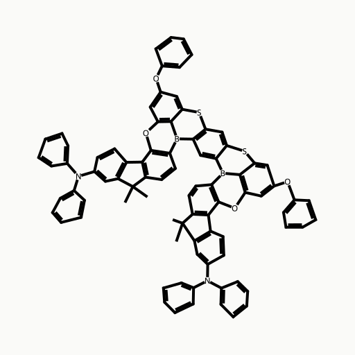 CC1(C)c2cc(N(c3ccccc3)c3ccccc3)ccc2-c2c1ccc1c2Oc2cc(Oc3ccccc3)cc3c2B1c1cc2c(cc1S3)Sc1cc(Oc3ccccc3)cc3c1B2c1ccc2c(c1O3)-c1ccc(N(c3ccccc3)c3ccccc3)cc1C2(C)C